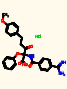 COc1ccc(CCC(=O)C(NC(=O)c2ccc(C(=N)N)cc2)(Oc2ccccc2)C(=O)O)cc1.Cl